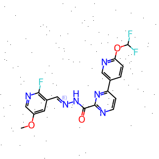 COc1cnc(F)c(/C=N/NC(=O)c2nccc(-c3ccc(OC(F)F)nc3)n2)c1